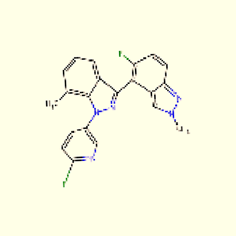 Cc1cccc2c(-c3c(F)ccc4nn(C)cc34)nn(-c3ccc(F)nc3)c12